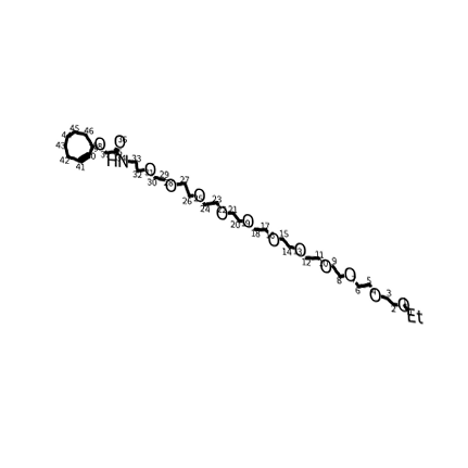 CCOCCOCCOCCOCCOCCOCCOCCOCCOCCOCCOCCNC(=O)COC1C#CCCCCC1